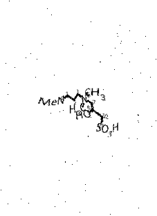 CNCCC[N+](C)(C)CC(O)CS(=O)(=O)O